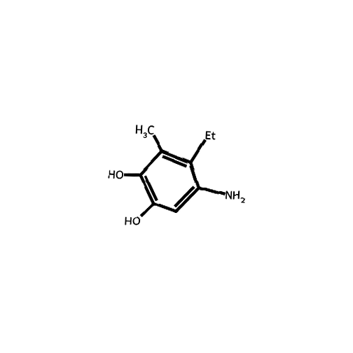 CCc1c(N)cc(O)c(O)c1C